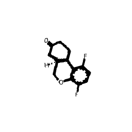 O=C1CCC2c3c(F)ccc(F)c3OC[C@H]2C1